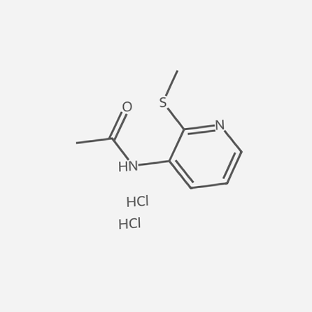 CSc1ncccc1NC(C)=O.Cl.Cl